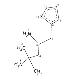 CC(C)(N)CC(N)Cc1cccs1